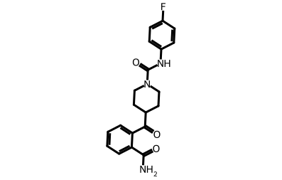 NC(=O)c1ccccc1C(=O)C1CCN(C(=O)Nc2ccc(F)cc2)CC1